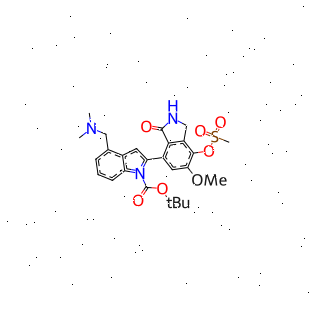 COc1cc(-c2cc3c(CN(C)C)cccc3n2C(=O)OC(C)(C)C)c2c(c1OS(C)(=O)=O)CNC2=O